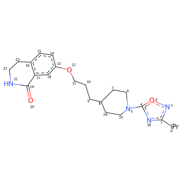 CC(C)c1noc(N2CCC(CCCOc3ccc4c(c3)C(=O)NCC4)CC2)n1